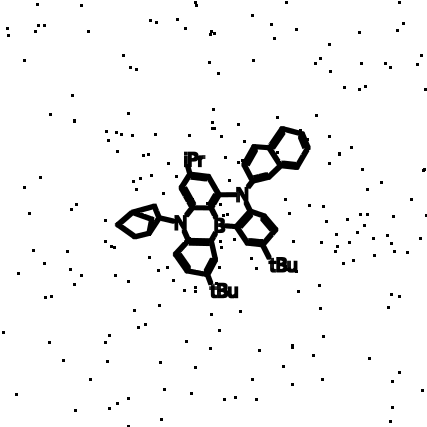 CC(C)c1cc2c3c(c1)N(C1CC4CCC1C4)c1ccc(C(C)(C)C)cc1B3c1cc(C(C)(C)C)ccc1N2c1ccc2ccccc2c1